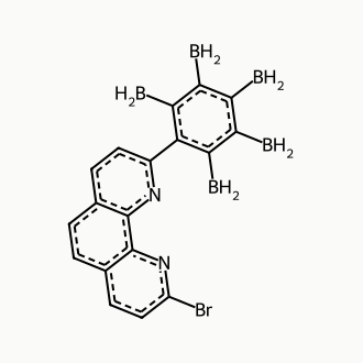 Bc1c(B)c(B)c(-c2ccc3ccc4ccc(Br)nc4c3n2)c(B)c1B